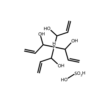 C=CC(O)[PH](C(O)C=C)(C(O)C=C)C(O)C=C.O=S(=O)(O)O